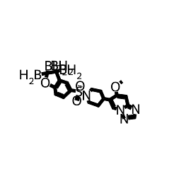 BC1(B)Oc2ccc(S(=O)(=O)N3CCC(c4cn5ncnc5cc4OC)CC3)cc2C1(B)B